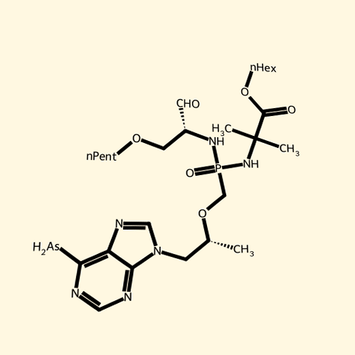 CCCCCCOC(=O)C(C)(C)NP(=O)(CO[C@H](C)Cn1cnc2c([AsH2])ncnc21)N[C@@H](C=O)COCCCCC